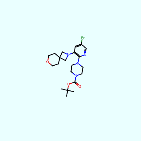 CC(C)(C)OC(=O)N1CCN(c2ncc(Br)cc2N2CC3(CCOCC3)C2)CC1